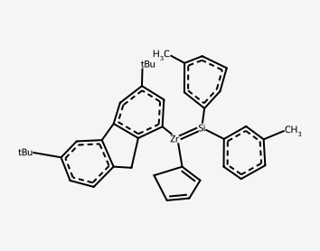 Cc1cccc([Si](c2cccc(C)c2)=[Zr]([C]2=CC=CC2)[c]2cc(C(C)(C)C)cc3c2Cc2ccc(C(C)(C)C)cc2-3)c1